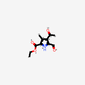 CCOC(=O)c1[nH]c(C=O)c(C(C)=O)c1C